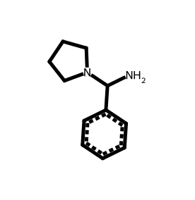 NC(c1ccccc1)N1CCCC1